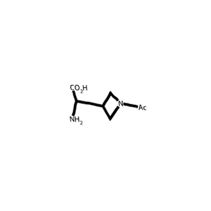 CC(=O)N1CC(C(N)C(=O)O)C1